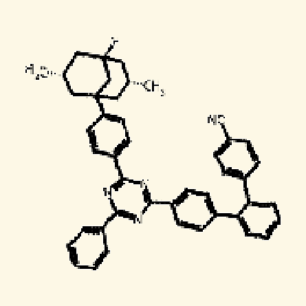 C[C@@H]1C[C@@H]2C[C@H](C)CC(c3ccc(-c4nc(-c5ccccc5)nc(-c5ccc(-c6ccccc6-c6ccc(C#N)cc6)cc5)n4)cc3)(C1)C2